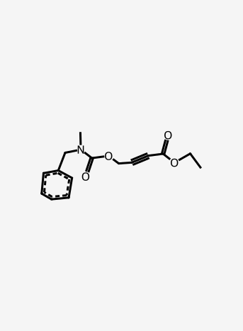 CCOC(=O)C#CCOC(=O)N(C)Cc1ccccc1